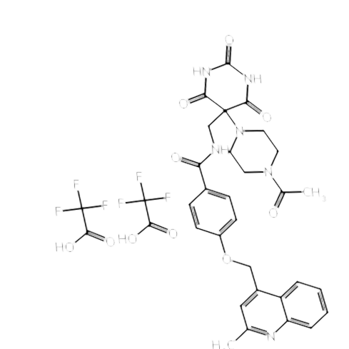 CC(=O)N1CCN(C2(CNC(=O)c3ccc(OCc4cc(C)nc5ccccc45)cc3)C(=O)NC(=O)NC2=O)CC1.O=C(O)C(F)(F)F.O=C(O)C(F)(F)F